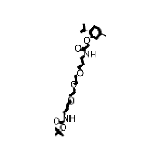 CC(C)[C@@H]1CC[C@@H](C)C[C@H]1OCC(=O)NCCCOCCOCCOCCCNC(=O)OC(C)(C)C